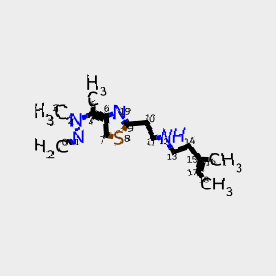 C=NN(C)/C(C)=C1\CSC(CCNCCC(C)=CC)=N1